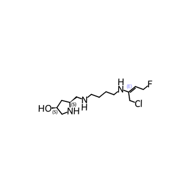 O[C@@H]1CN[C@H](CNCCCCN/C(=C/CF)CCl)C1